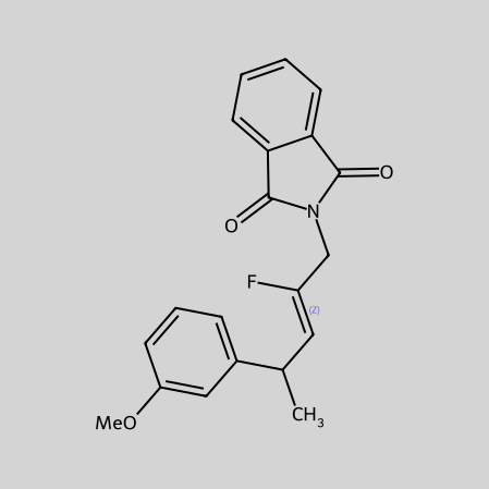 COc1cccc(C(C)/C=C(\F)CN2C(=O)c3ccccc3C2=O)c1